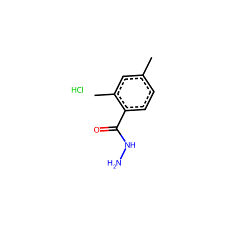 Cc1ccc(C(=O)NN)c(C)c1.Cl